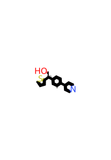 OC[C@@H](c1c[c]c(-c2ccncc2)cc1)c1cccs1